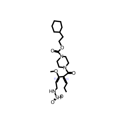 CC/C=C(C(=O)N1CCN(C(=O)OCCC2CCCCC2)CC1)\C(=C/CN[SH](=O)=O)OC